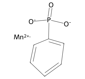 O=P([O-])([O-])c1ccccc1.[Mn+2]